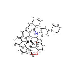 c1ccc(-c2ccc(N(c3ccc4c(c3)[Si](c3ccccc3)(c3ccccc3)c3ccccc3C43c4ccccc4Oc4ccccc43)c3cccc4ccccc34)cc2)cc1